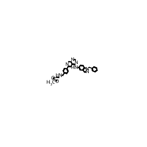 CS(=O)(=O)CCNCc1ccc(-c2cc3c(Nc4ccc5c(cnn5Cc5ccccc5)c4)ncnc3cn2)cc1